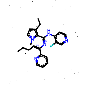 CCC/C=C(/N=C(/Nc1ccncc1F)c1c(CC)ccn1C)c1ccccn1